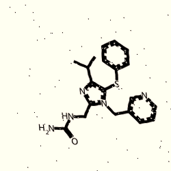 CC(C)c1nc(CNC(N)=O)n(Cc2cccnc2)c1Sc1ccccc1